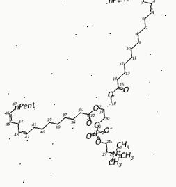 CCCCC/C=C\C/C=C\CCCCCCCCCC(=O)OC[C@H](COP(=O)([O-])OCC[N+](C)(C)C)OC(=O)CCCCCCC/C=C\C/C=C\CCCCC